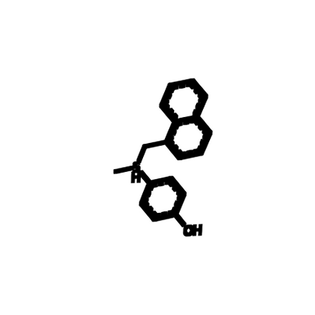 C[SH](Cc1cccc2ccccc12)c1ccc(O)cc1